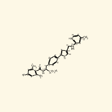 CCc1cc(F)cc(C)c1C(=O)NC(Cc1ccc(-c2cc(CNc3cc(C)ccn3)cs2)cc1)C(=O)O